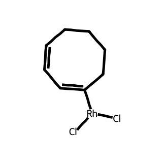 [Cl][Rh]([Cl])[C]1=CC=CCCCC1